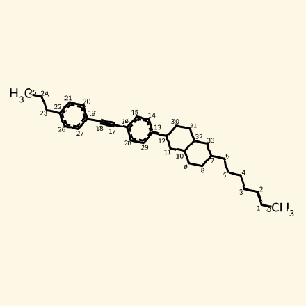 CCCCCCCC1CCC2CC(c3ccc(C#Cc4ccc(CCC)cc4)cc3)CCC2C1